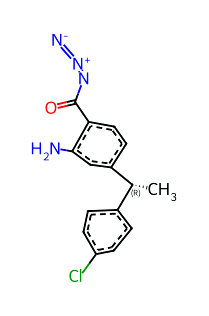 C[C@H](c1ccc(Cl)cc1)c1ccc(C(=O)N=[N+]=[N-])c(N)c1